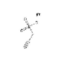 C#CCS(=O)(=O)OC(C)C